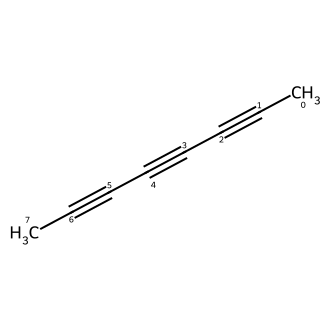 CC#CC#CC#CC